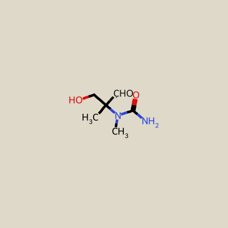 CN(C(N)=O)C(C)([C]=O)CO